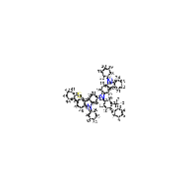 CC1(C)c2ccccc2-c2ccc(N(c3ccc4c(c3)c3ccccc3n4-c3ccccc3)c3ccc4c5c6sc7ccccc7c6ccc5n(-c5ccccc5)c4c3)cc21